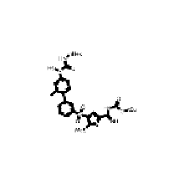 CCCCCCNC(=O)N(S)c1ccc(-c2cccc(S(=O)(=O)c3cc(C(=N)NC(=O)OC(C)(C)C)sc3SC)c2)c(C)c1